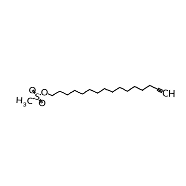 C#CCCCCCCCCCCCCCCOS(C)(=O)=O